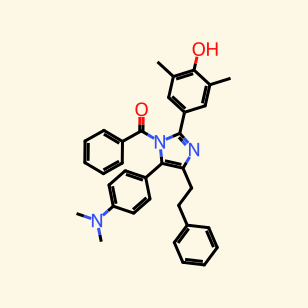 Cc1cc(-c2nc(CCc3ccccc3)c(-c3ccc(N(C)C)cc3)n2C(=O)c2ccccc2)cc(C)c1O